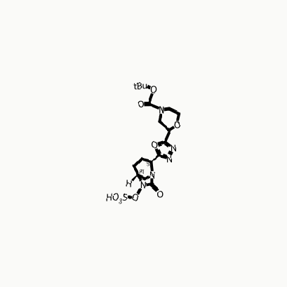 CC(C)(C)OC(=O)N1CCOC(c2nnc([C@@H]3CC[C@@H]4CN3C(=O)N4OS(=O)(=O)O)o2)C1